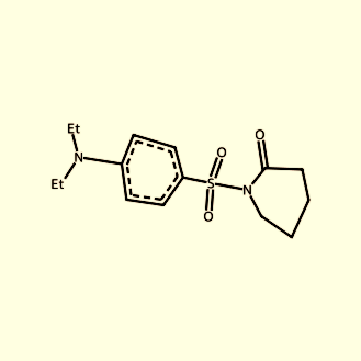 CCN(CC)c1ccc(S(=O)(=O)N2CCCCC2=O)cc1